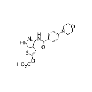 O=C(O)Oc1cc2c(NC(=O)c3ccc(N4CCOCC4)cc3)n[nH]c2s1